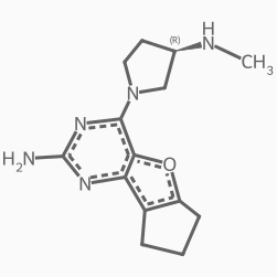 CN[C@@H]1CCN(c2nc(N)nc3c4c(oc23)CCC4)C1